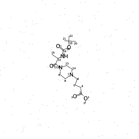 COC(=O)CCCN1CCN(C(=O)C(C)NC(=O)OC(C)(C)C)CC1